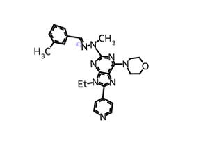 CCn1c(-c2ccncc2)nc2c(N3CCOCC3)nc(N(C)/N=C/c3cccc(C)c3)nc21